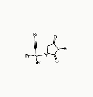 CC(C)[Si](C#CBr)(C(C)C)C(C)C.O=C1CCC(=O)N1Br